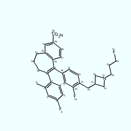 Cc1cc(F)ccc1C1=C(c2ccc(CC3CN(CCCF)C3)c(F)c2)c2ccc(C(=O)O)cc2CCC1